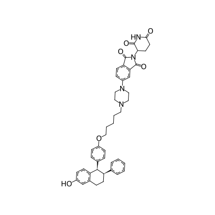 O=C1CCC(N2C(=O)c3ccc(N4CCN(CCCCCOc5ccc([C@@H]6c7ccc(O)cc7CC[C@@H]6c6ccccc6)cc5)CC4)cc3C2=O)C(=O)N1